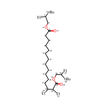 CCCCC(CC)COC(=O)CCCCCCCCCCCC(CC)C(CC)C(=O)OCC(CC)CCCC